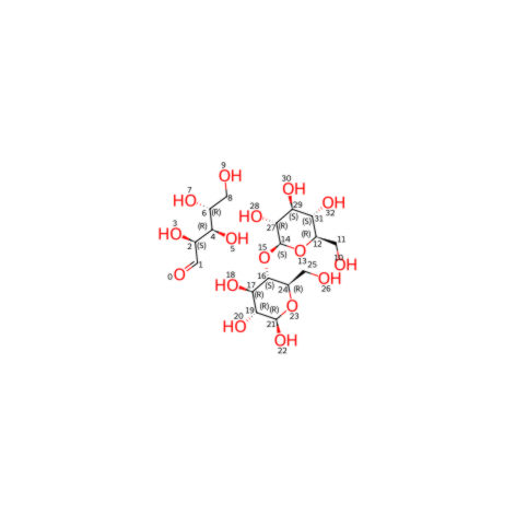 O=C[C@@H](O)[C@H](O)[C@H](O)CO.OC[C@H]1O[C@@H](O[C@H]2[C@H](O)[C@@H](O)[C@H](O)O[C@@H]2CO)[C@H](O)[C@@H](O)[C@@H]1O